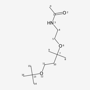 CC(=O)NCCOC(C)(C)CCOC(C)(C)C